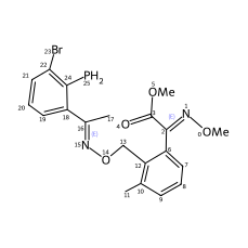 CO/N=C(/C(=O)OC)c1cccc(C)c1CO/N=C(\C)c1cccc(Br)c1P